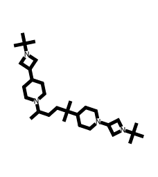 CC(CCC(C)(C)C1CCN(C2CN(C(C)(C)C)C2)CC1)N1CCC(C2CN(C(C)(C)C)C2)CC1